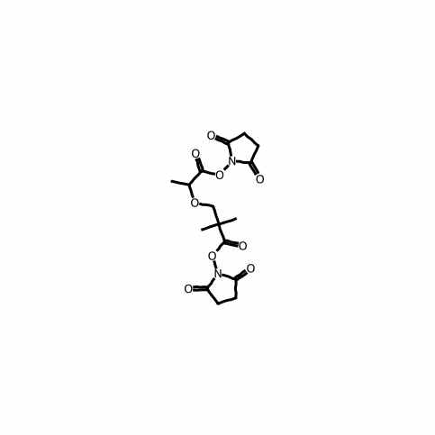 CC(OCC(C)(C)C(=O)ON1C(=O)CCC1=O)C(=O)ON1C(=O)CCC1=O